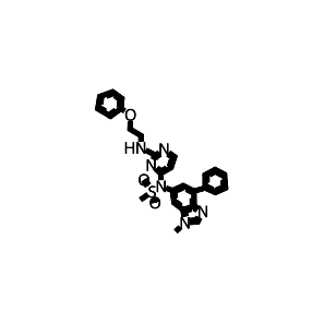 Cn1cnc2c(-c3ccccc3)cc(N(c3ccnc(NCCOc4ccccc4)n3)S(C)(=O)=O)cc21